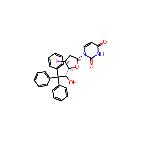 O=c1ccn([C@H]2C[C@H](I)[C@@H](C(O)C(c3ccccc3)(c3ccccc3)c3ccccc3)O2)c(=O)[nH]1